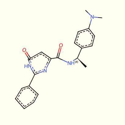 C[C@@H](NC(=O)c1cc(=O)[nH]c(-c2ccccc2)n1)c1ccc(N(C)C)cc1